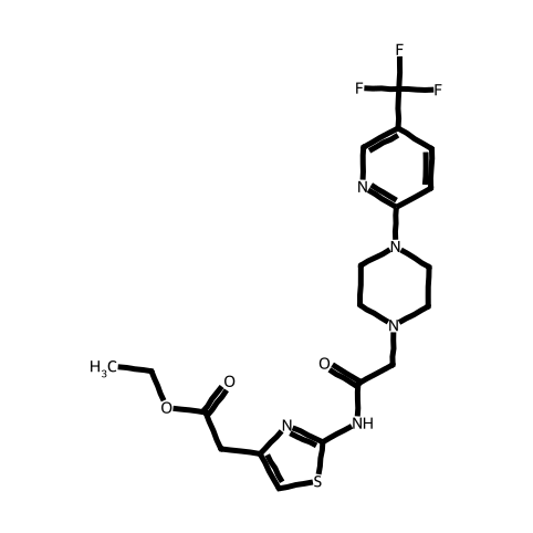 CCOC(=O)Cc1csc(NC(=O)CN2CCN(c3ccc(C(F)(F)F)cn3)CC2)n1